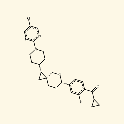 O=C(c1ccc([C@H]2OC[C@]3(CO2)C[C@@H]3C2CCN(c3ncc(Cl)cn3)CC2)cc1F)C1CC1